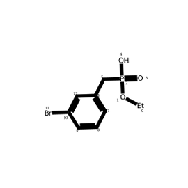 CCOP(=O)(O)Cc1cccc(Br)c1